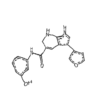 O=C(Nc1cccc(O)c1)C1=Cc2c(-c3ccoc3)c[nH]c2NC1